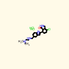 CN(C)CCNCc1ccc2[nH]c(-c3ccc(Cl)c4c3C(=O)NC4)cc2c1.Cl.Cl